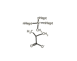 CC(C)C(=O)[O-].CCCCCCC[N+](C)(CCCCCCC)CCCCCCC